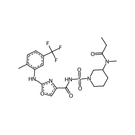 CCC(=O)N(C)C1CCCN(S(=O)(=O)NC(=O)c2coc(Nc3cc(C(F)(F)F)ccc3C)n2)C1